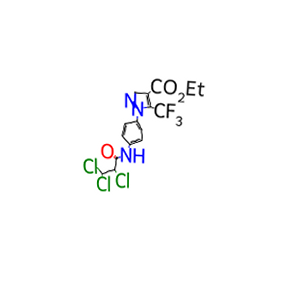 CCOC(=O)c1cnn(-c2ccc(NC(=O)C(Cl)C(Cl)Cl)cc2)c1C(F)(F)F